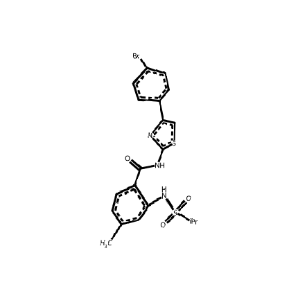 Cc1ccc(C(=O)Nc2nc(-c3ccc(Br)cc3)cs2)c(NS(=O)(=O)C(C)C)c1